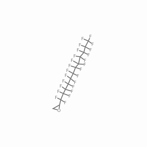 FC(F)(F)C(F)(F)C(F)(F)C(F)(F)C(F)(F)C(F)(F)C(F)(F)C(F)(F)C(F)(F)C(F)(F)C(F)(F)C(F)(F)C1CO1